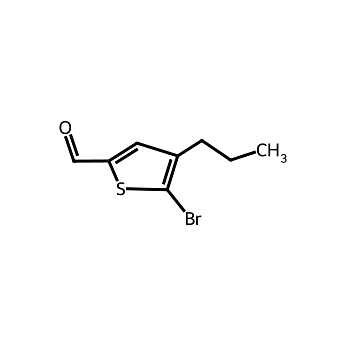 CCCc1cc(C=O)sc1Br